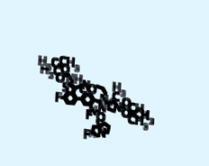 C[C@@H]1[C@H](N2CCCOc3c(Cl)c(-c4ccc(F)c5sc(NC(=O)OC(C)(C)C)c(C#N)c45)cc4c3C2=NC(OC[C@@]23CCCN2C[C@H](F)C3)N4F)CCN1C(=O)OC(C)(C)C